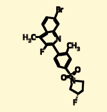 Cc1cc(S(=O)(=O)N2CC[C@H](F)C2)ccc1-c1nc2cc(Br)ccc2c(C)c1F